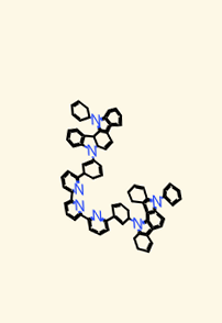 C1=CCC(n2c3c(c4ccccc42)C=CC2C3c3ccccc3N2C2=CC(c3cccc(-c4cccc(-c5cccc(C6=CC(n7c8c(c9ccc%10c(c%11c(n%10-c%10ccccc%10)C=CCC%11)c97)C=CCC8)CC=C6)n5)n4)n3)CC=C2)C=C1